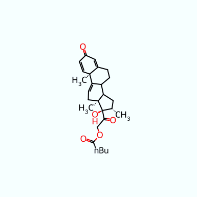 CCCCC(=O)OCC(=O)[C@@]1(O)[C@@H](C)CC2C3CCC4=CC(=O)C=C[C@]4(C)C3=CC[C@@]21C